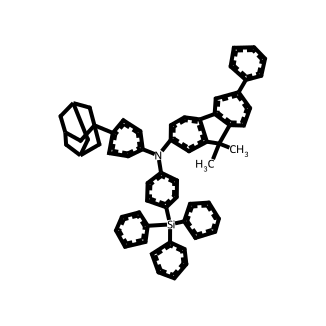 CC1(C)c2ccc(-c3ccccc3)cc2-c2ccc(N(c3ccc(C45CC6CC(CC(C6)C4)C5)cc3)c3ccc([Si](c4ccccc4)(c4ccccc4)c4ccccc4)cc3)cc21